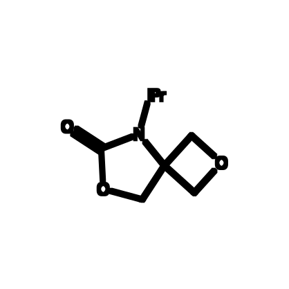 CC(C)N1C(=O)OCC12COC2